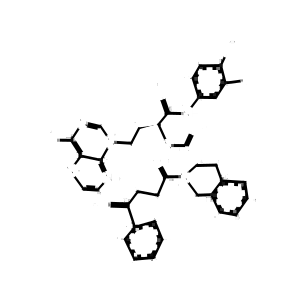 Cc1cc(NC(=O)[C@H](CCN2C=NC(O)=C3NC=CN=C32)NC(=O)[C@@H]2Cc3ccccc3CN2C(=O)CCC(=O)c2ccccc2)ccc1Cl